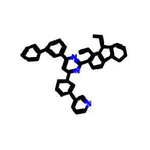 C=Cc1c(-c2nc(-c3cccc(-c4ccccc4)c3)cc(-c3cccc(-c4cccnc4)c3)n2)ccc2c1/C(=C\C)C1=C2CCC=C1